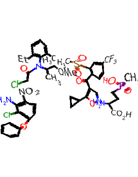 CCc1cccc(C)c1N(C(=O)CCl)C(C)COC.CP(=O)(O)CCC(N)C(=O)O.CS(=O)(=O)c1cc(C(F)(F)F)ccc1C(=O)c1cnoc1C1CC1.Nc1c([N+](=O)[O-])ccc(Oc2ccccc2)c1Cl